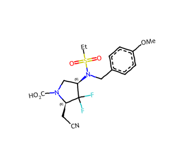 CCS(=O)(=O)N(Cc1ccc(OC)cc1)[C@@H]1CN(C(=O)O)[C@H](CC#N)C1(F)F